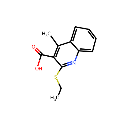 CCSc1nc2ccccc2c(C)c1C(=O)O